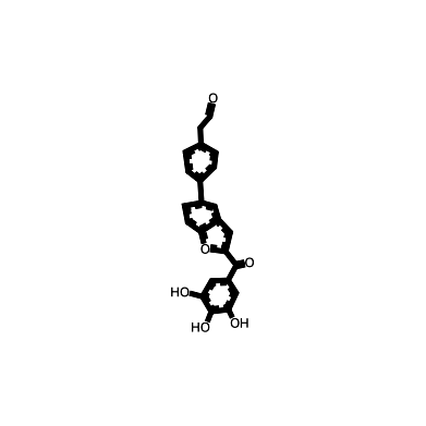 O=CCc1ccc(-c2ccc3oc(C(=O)c4cc(O)c(O)c(O)c4)cc3c2)cc1